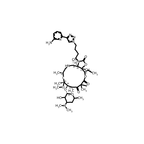 CC[C@H]1OC(=O)C(C)(F)C(=O)[C@H](C)[C@@H](O[C@@H]2OC(C)CC(N(C)C)C2O)[C@](C)(OC)C[C@@H](C)CN[C@H](C)[C@H]2N(CCCCn3cc(-c4cccc(N)n4)nn3)C(=O)O[C@]12C